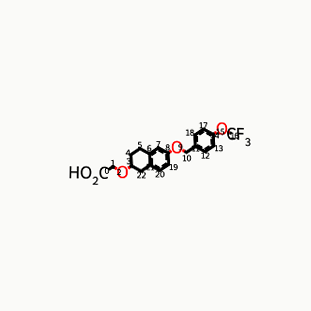 O=C(O)COC1CCc2cc(OCc3ccc(OC(F)(F)F)cc3)ccc2C1